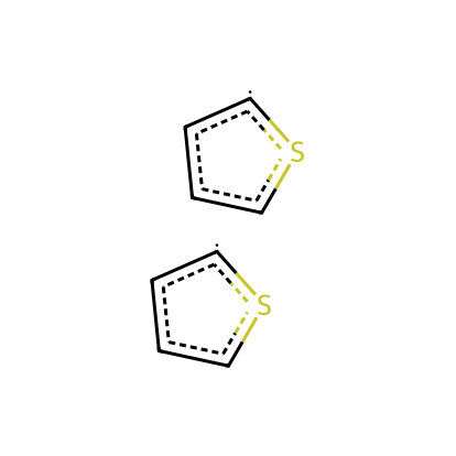 [c]1cccs1.[c]1cccs1